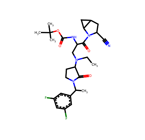 CCN(CC(NC(=O)OC(C)(C)C)C(=O)N1C(C#N)CC2CC21)C1CCN(C(C)c2cc(F)cc(F)c2)C1=O